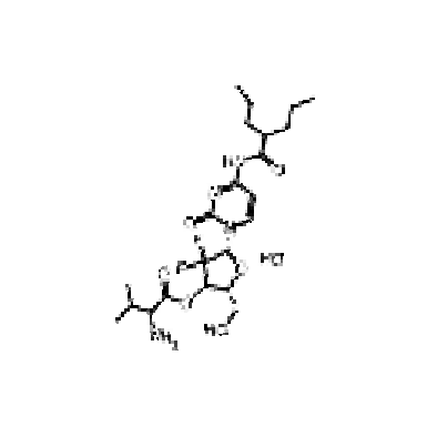 CCCC(CCC)C(=O)Nc1ccn([C@@H]2O[C@H](CO)[C@@H](OC(=O)[C@@H](N)C(C)C)C2(F)F)c(=O)n1.Cl